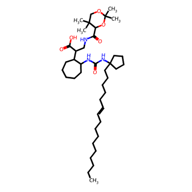 CCCCCCCCCC=CCCCCCC1(NC(=O)NC2CCCCCC2C(CNC(=O)C2OC(C)(C)OCC2(C)C)C(=O)O)CCCC1